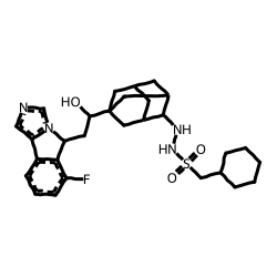 O=S(=O)(CC1CCCCC1)NNC1C2CC3CC1CC(C(O)CC1c4c(F)cccc4-c4cncn41)(C3)C2